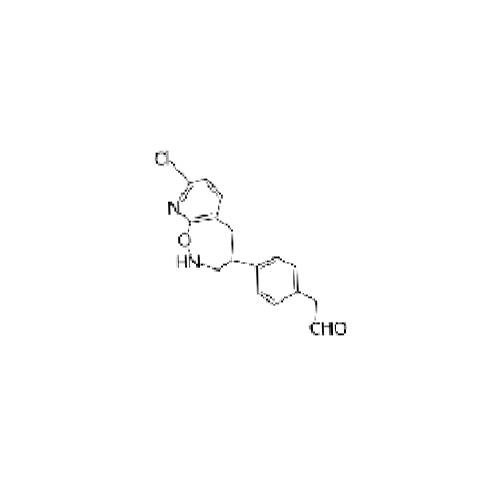 O=CCc1ccc(C2CNOc3nc(Cl)ccc3C2)cc1